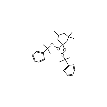 CC1CC(C)(C)CC(OOC(C)(C)c2ccccc2)(OOC(C)(C)c2ccccc2)C1